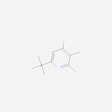 Cc1nc(C(C)(C)C)cc(Cl)c1C